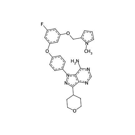 Cn1cccc1COc1cc(F)cc(Oc2ccc(-n3nc(C4CCOCC4)c4ncnc(N)c43)cc2)c1